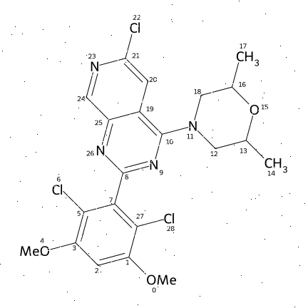 COc1cc(OC)c(Cl)c(-c2nc(N3CC(C)OC(C)C3)c3cc(Cl)ncc3n2)c1Cl